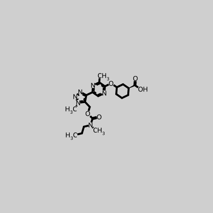 CCCN(C)C(=O)OCc1c(-c2cnc(OC3CCC[C@H](C(=O)O)C3)c(C)n2)nnn1C